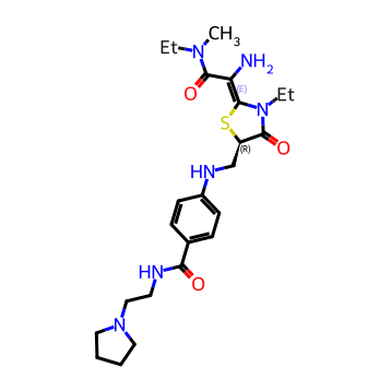 CCN(C)C(=O)/C(N)=C1\S[C@H](CNc2ccc(C(=O)NCCN3CCCC3)cc2)C(=O)N1CC